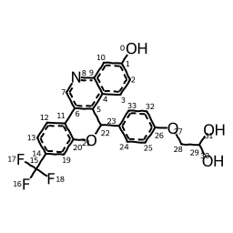 Oc1ccc2c3c(cnc2c1)-c1ccc(C(F)(F)F)cc1OC3c1ccc(OCC(O)O)cc1